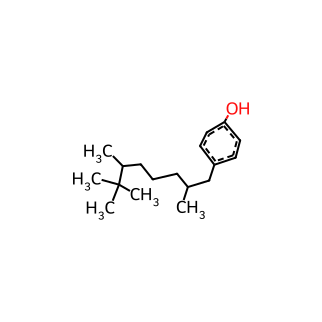 CC(CCCC(C)C(C)(C)C)Cc1ccc(O)cc1